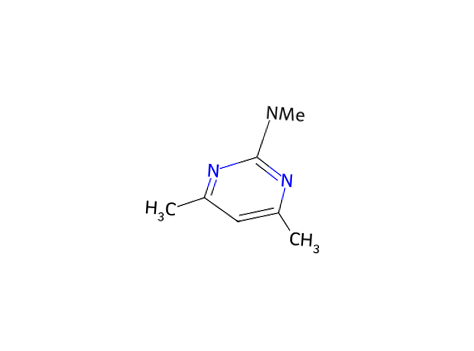 CNc1nc(C)cc(C)n1